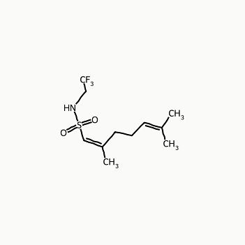 CC(C)=CCCC(C)=CS(=O)(=O)NCC(F)(F)F